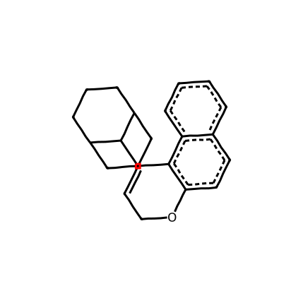 C1=C(C2C3CCCC2CCC3)c2c(ccc3ccccc23)OC1